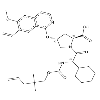 C=CCC(C)(C)COC(=O)N[C@H](C(=O)N1C[C@H](Oc2nccc3cc(OC)c(C=C)cc23)C[C@H]1C(=O)O)C1CCCCC1